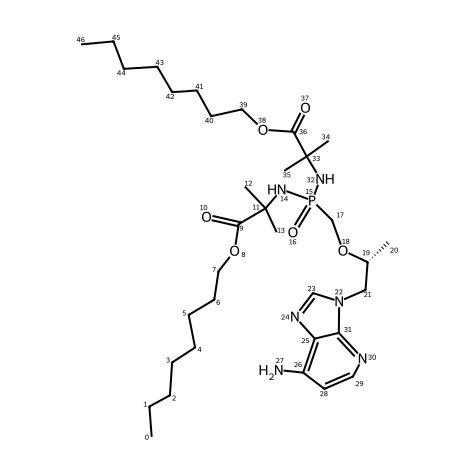 CCCCCCCCOC(=O)C(C)(C)NP(=O)(CO[C@H](C)Cn1cnc2c(N)ccnc21)NC(C)(C)C(=O)OCCCCCCCC